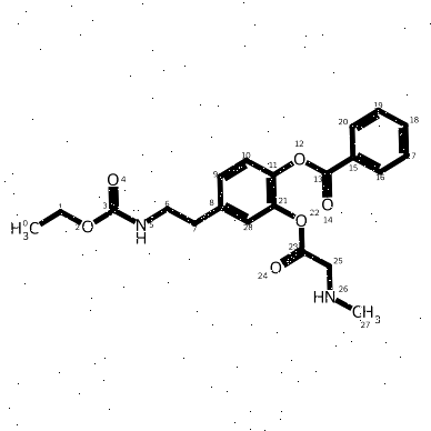 CCOC(=O)NCCc1ccc(OC(=O)c2ccccc2)c(OC(=O)CNC)c1